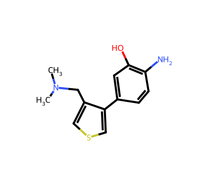 CN(C)Cc1cscc1-c1ccc(N)c(O)c1